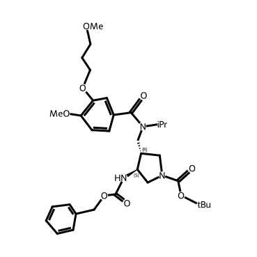 COCCCOc1cc(C(=O)N(C[C@@H]2CN(C(=O)OC(C)(C)C)C[C@H]2NC(=O)OCc2ccccc2)C(C)C)ccc1OC